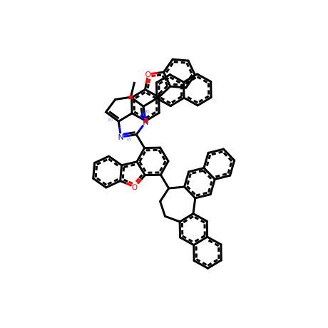 CC1C/C=C(c2ccc3c(c2)oc2ccccc23)/N=C(c2ccc(C3CCc4cc5ccccc5cc4-c4cc5ccccc5cc43)c3oc4ccccc4c23)\N=C/1c1ccc2ccccc2c1